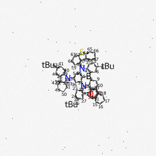 CC(C)(C)c1ccc2c(c1)B1c3ccc4c(oc5ccccc54)c3N(c3ccc(C(C)(C)C)cc3-c3ccccc3)c3cc(N4c5ccc(C(C)(C)C)cc5C5(C)CCCCC45C)cc(c31)N2c1cccc2sc3ccccc3c12